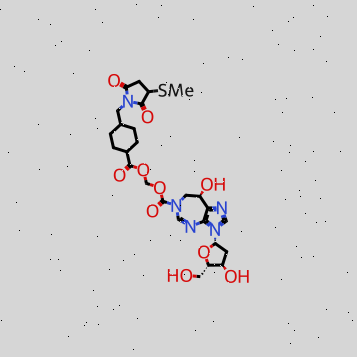 CSC1CC(=O)N(CC2CCC(C(=O)OCOC(=O)N3C=Nc4c(ncn4[C@@H]4C[C@@H](O)[C@H](CO)O4)[C@H](O)C3)CC2)C1=O